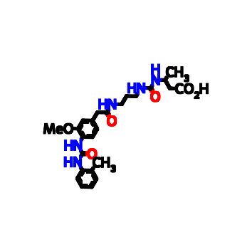 COc1cc(CC(=O)NCCCNC(=O)NC(C)CC(=O)O)ccc1NC(=O)Nc1ccccc1C